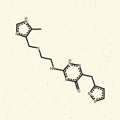 Cc1[nH]cnc1CSCCNc1nc(=O)c(Cc2ccsn2)n[nH]1